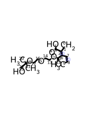 C=C/C(C(=O)O)=C(\C=C/C)C(=O)OCCOCCOC(C)(C)CO